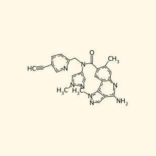 C#Cc1ccc(CN(C(=O)c2cc3c(cc2C)nc(N)c2cnn(C)c23)c2cnn(C)c2)nc1